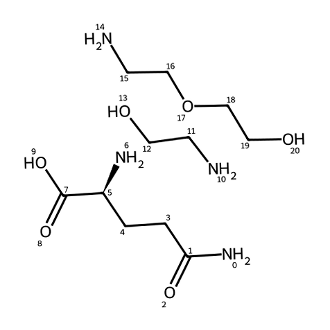 NC(=O)CC[C@H](N)C(=O)O.NCCO.NCCOCCO